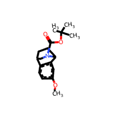 COc1ccc2c(c1)C1CCC2CN1C(=O)OC(C)(C)C